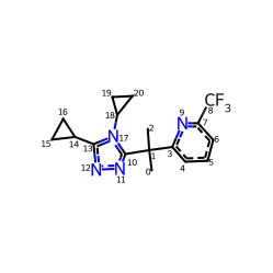 CC(C)(c1cccc(C(F)(F)F)n1)c1nnc(C2CC2)n1C1CC1